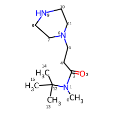 CN(C(=O)CCN1CCNCC1)C(C)(C)C